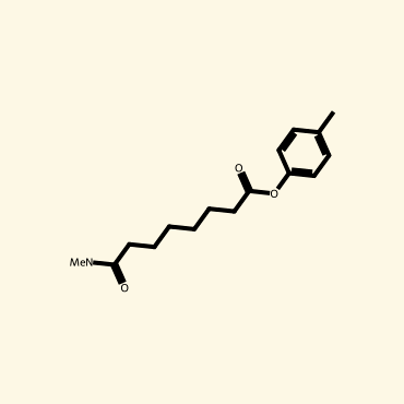 CNC(=O)CCCCCCC(=O)Oc1ccc(C)cc1